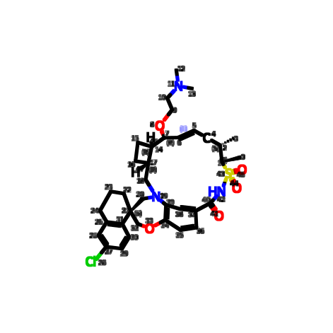 C[C@@H]1[C@@H](C)C/C=C/[C@H](OCCN(C)C)[C@@H]2CC[C@H]2CN2C[C@@]3(CCCc4cc(Cl)ccc43)COc3ccc(cc32)C(=O)NS1(=O)=O